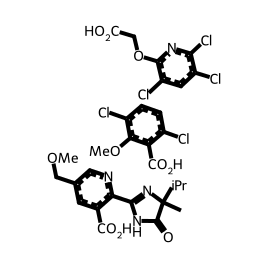 COCc1cnc(C2=NC(C)(C(C)C)C(=O)N2)c(C(=O)O)c1.COc1c(Cl)ccc(Cl)c1C(=O)O.O=C(O)COc1nc(Cl)c(Cl)cc1Cl